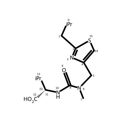 CC(C)Cc1nc(CN(C)C(=O)N[C@H](C(=O)O)C(C)C)cs1